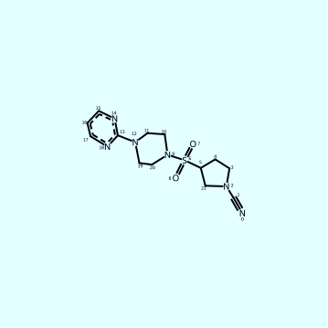 N#CN1CCC(S(=O)(=O)N2CCN(c3ncccn3)CC2)C1